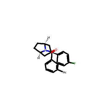 CC(=O)c1cccc(C(=O)N2[C@@H]3CC[C@H]2C[C@@H](c2ccc(F)cc2)C3)c1